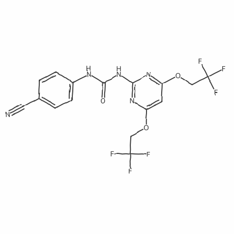 N#Cc1ccc(NC(=O)Nc2nc(OCC(F)(F)F)cc(OCC(F)(F)F)n2)cc1